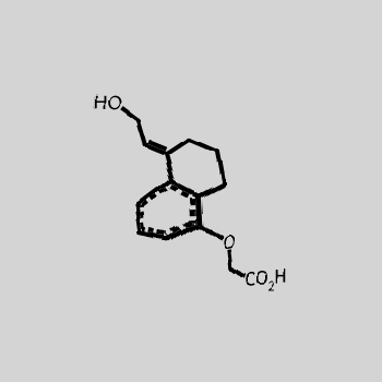 O=C(O)COc1cccc2c1CCCC2=CCO